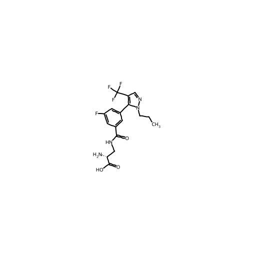 CCCn1ncc(C(F)(F)F)c1-c1cc(F)cc(C(=O)NC[C@@H](N)C(=O)O)c1